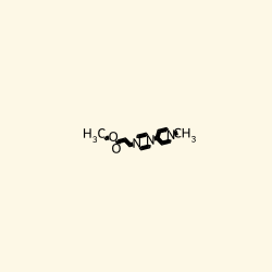 CCOC(=O)CCN1CCN(C2CCN(C)CC2)CC1